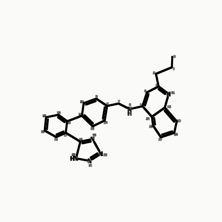 CCCc1cc(NCc2ccc(-c3ccccc3-c3nnn[nH]3)cc2)c2ccccc2n1